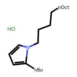 CCCCCCCCCCCCn1cccc1CCCC.Cl